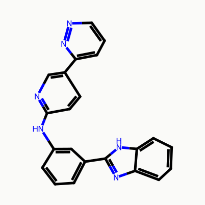 c1cc(Nc2ccc(-c3cccnn3)cn2)cc(-c2nc3ccccc3[nH]2)c1